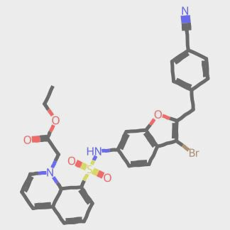 CCOC(=O)CN1C=CC=C2C=CC=C(S(=O)(=O)Nc3ccc4c(Br)c(Cc5ccc(C#N)cc5)oc4c3)C21